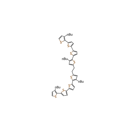 CCCCc1ccsc1-c1ccc(-c2ccc(-c3sc(CCc4cc(CCCC)c(-c5ccc(-c6ccc(-c7sccc7CCCC)s6)s5)s4)cc3CCCC)s2)s1